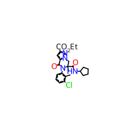 CCOC(=O)c1cc2n(n1)CC(C)(C(=O)NC1CCCC1)N(c1cccc(Cl)c1C)C2=O